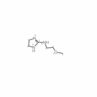 COCCNC1=NCCN1